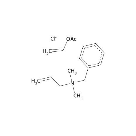 C=CC[N+](C)(C)Cc1ccccc1.C=COC(C)=O.[Cl-]